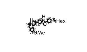 CCCCCCOc1ccc(C(=O)Nc2ccc(C(=O)C=C3NC(C)(C)Cc4ccc(OC)cc43)cc2)cc1